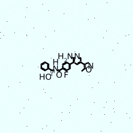 Cc1oncc1-c1cnc(N)c(-c2ccc(C(=O)N[C@H](CO)c3ccccc3)c(F)c2)c1